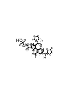 CC1CCC(Nc2cc(C(F)(F)F)c(-c3sc(C(=O)NCC(C)(C)O)nc3C(=O)N3CCC[C@@H]3C)cn2)C1